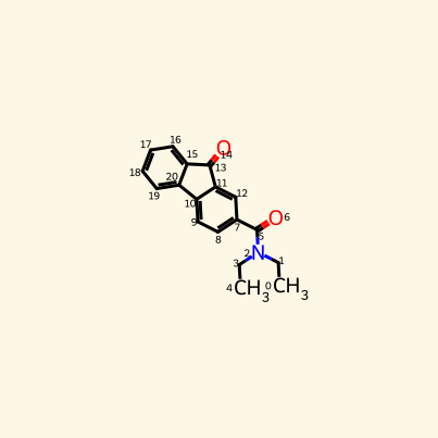 CCN(CC)C(=O)c1ccc2c(c1)C(=O)c1ccccc1-2